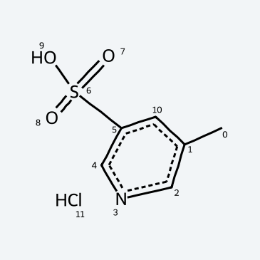 Cc1cncc(S(=O)(=O)O)c1.Cl